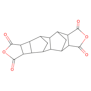 O=C1OC(=O)C2C3CC(C12)C1C2CC(C31)C1C3C(=O)OC(=O)C3C21